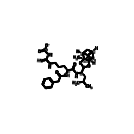 CC(C)C[C@H](NC(=O)[C@H](CCCNC(=N)N[N+](=O)[O-])NC(=O)Cc1ccccc1)B1O[C@@H]2C[C@@H]3C[C@@H](C3(C)C)[C@]2(C)O1